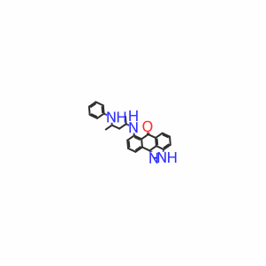 CC(CC(C)Nc1cccc2c1C(=O)c1cccc3[nH]nc-2c13)Nc1ccccc1